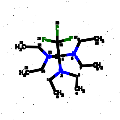 CCN(CC)[Si](N(CC)CC)(N(CC)CC)C(F)(F)F